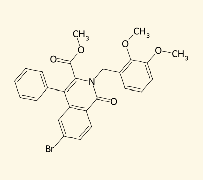 COC(=O)c1c(-c2ccccc2)c2cc(Br)ccc2c(=O)n1Cc1cccc(OC)c1OC